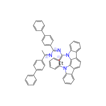 CC/C=C(/N=C(\N=C(/C)c1ccc(-c2ccccc2)cc1)c1ccc(-c2ccccc2)cc1)n1c2ccccc2c2ccc3c4ccccc4n(-c4ccccc4)c3c21